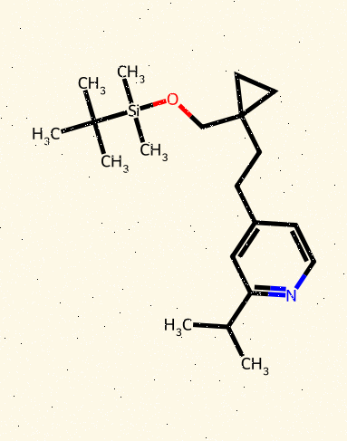 CC(C)c1cc(CCC2(CO[Si](C)(C)C(C)(C)C)CC2)ccn1